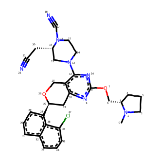 CN1CCC[C@H]1COc1nc2c(c(N3CCN(C#N)[C@@H](CC#N)C3)n1)CO[C@H](c1cccc3cccc(Cl)c13)C2